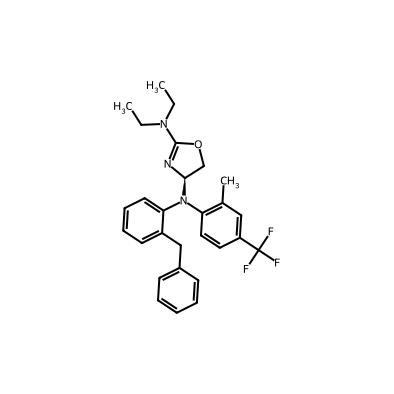 CCN(CC)C1=N[C@H](N(c2ccc(C(F)(F)F)cc2C)c2ccccc2Cc2ccccc2)CO1